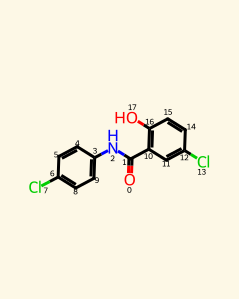 O=C(Nc1ccc(Cl)cc1)c1cc(Cl)ccc1O